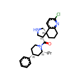 CC(C)[C@@H]1C[C@H](c2ccccc2)CCN1C(=O)[C@@H]1CNC[C@]12CCCc1nc(Cl)ccc12